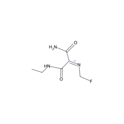 CCNC(=O)/C(=N\CF)C(N)=O